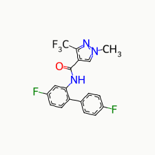 Cn1cc(C(=O)Nc2cc(F)ccc2-c2ccc(F)cc2)c(C(F)(F)F)n1